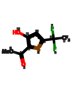 COC(=O)c1sc(C(F)(F)C(F)(F)F)cc1O